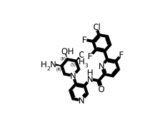 C[C@H]1CN(c2ccncc2NC(=O)c2ccc(F)c(-c3ccc(Cl)c(F)c3F)n2)C[C@@H](N)[C@@H]1O